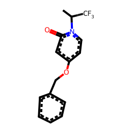 CC(n1ccc(OCc2ccccc2)cc1=O)C(F)(F)F